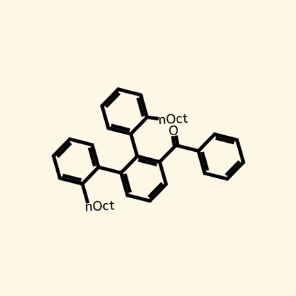 CCCCCCCCc1ccccc1-c1cccc(C(=O)c2ccccc2)c1-c1ccccc1CCCCCCCC